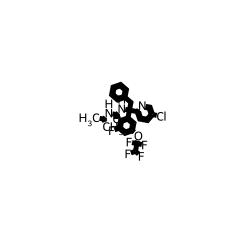 CC(C)NC(=O)NC(Cc1ccccc1)(c1cc(F)cc(OC(F)(F)C(F)F)c1)c1ccc(Cl)cn1